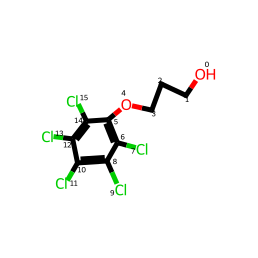 OCCCOc1c(Cl)c(Cl)c(Cl)c(Cl)c1Cl